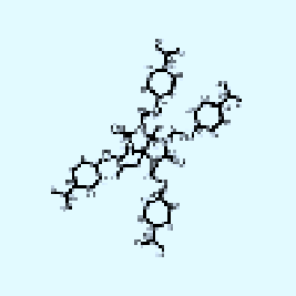 CCCC12N(COC3CCC(C(C)C)CC3)C(=O)N(COC3CCC(C(C)C)CC3)C1(C)N(COC1CCC(C(C)C)CC1)C(=O)N2COC1CCC(C(C)C)CC1